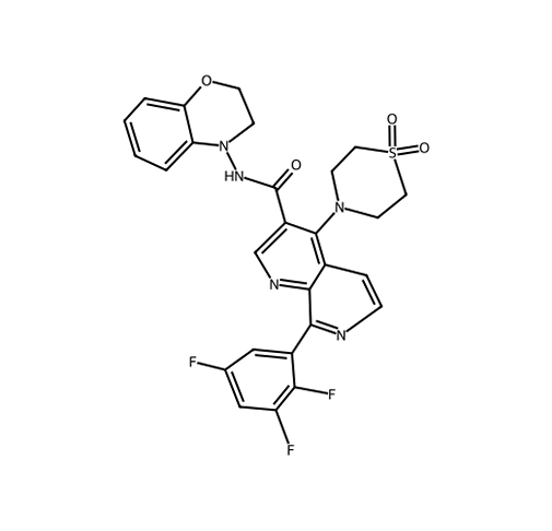 O=C(NN1CCOc2ccccc21)c1cnc2c(-c3cc(F)cc(F)c3F)nccc2c1N1CCS(=O)(=O)CC1